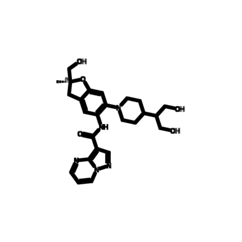 C[C@@]1(CO)Cc2cc(NC(=O)c3cnn4cccnc34)c(N3CCC(C(CO)CO)CC3)cc2O1